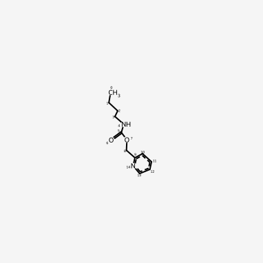 CCCCNC(=O)OCc1ccccn1